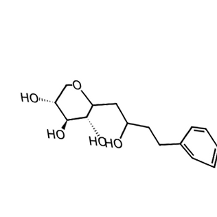 OC(CCc1ccccc1)CC1OC[C@@H](O)[C@H](O)[C@H]1O